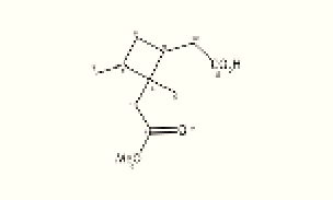 COC(=O)CC1(C)C(C)CC1CC(=O)O